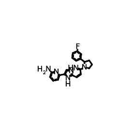 N=C(/C=C\c1ncc(-c2cccc(N)n2)[nH]1)N1CCCC1c1cccc(F)c1